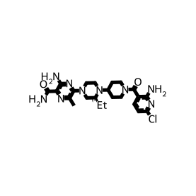 CC[C@H]1CN(c2nc(N)c(C(N)=O)nc2C)CCN1C1CCN(C(=O)c2ccc(Cl)nc2N)CC1